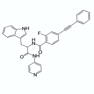 O=C(NC(Cc1c[nH]c2ccccc12)C(=O)Nc1ccncc1)c1ccc(C#Cc2ccccc2)cc1F